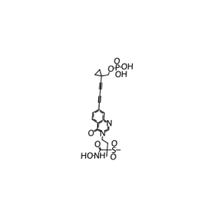 CC(CCn1cnc2cc(C#CC#CC3(COP(=O)(O)O)CC3)ccc2c1=O)(C(=O)NO)S(C)(=O)=O